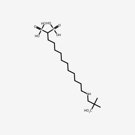 CC(C)(CNCCCCCCCCCCCC(P(=O)(O)O)P(=O)(O)O)C(=O)O